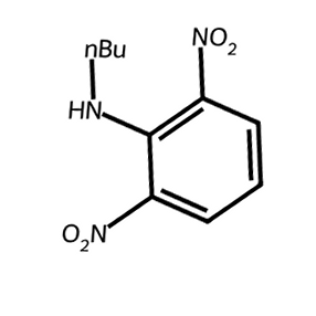 CCCCNc1c([N+](=O)[O-])cccc1[N+](=O)[O-]